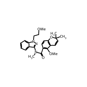 COCCn1nc(N(C)C(=O)c2ccc3c(c2OC)C=CC(C)(C)O3)c2ccccc21